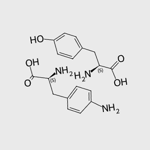 N[C@@H](Cc1ccc(O)cc1)C(=O)O.Nc1ccc(C[C@H](N)C(=O)O)cc1